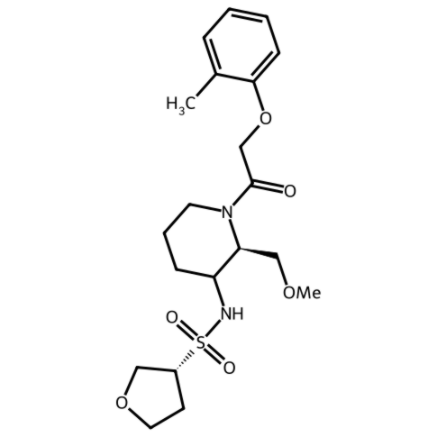 COC[C@H]1C(NS(=O)(=O)[C@@H]2CCOC2)CCCN1C(=O)COc1ccccc1C